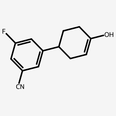 N#Cc1cc(F)cc(C2CC=C(O)CC2)c1